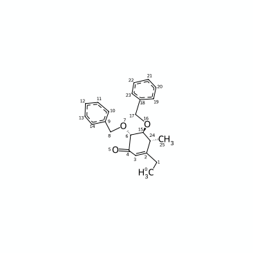 CCC1=CC(=O)[C@H](OCc2ccccc2)[C@@H](OCc2ccccc2)[C@@H]1C